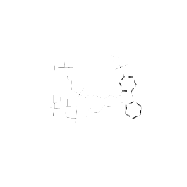 CCC(C)(COC(C)(C)CC)CSCCCS1(CCCSC(C)(CC)CCOC(C)(C)CC)c2ccccc2-c2ccc(C(C)(C)Br)cc21